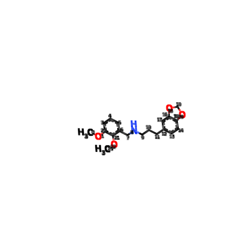 COc1cccc(CNCCCc2ccc3c(c2)OCO3)c1OC